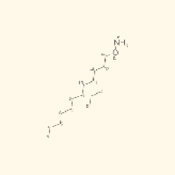 CCC.CCCCCCCCCCCCON